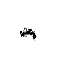 CC(C)(C)Cc1cc(NC(=O)Nc2ccc(-c3ccc(CN4CCOCC4)nc3)c3ccccc23)ccn1